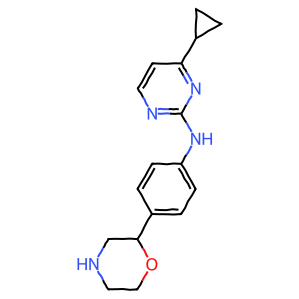 c1cc(C2CC2)nc(Nc2ccc(C3CNCCO3)cc2)n1